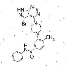 Cc1ccc(C(=O)Nc2ccccc2)cc1N1CCN(c2ncnc3[nH]nc(Br)c23)CC1